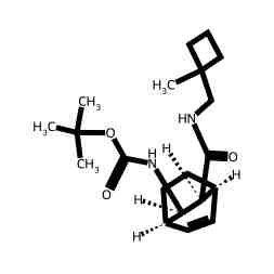 CC1(CNC(=O)[C@@H]2[C@H](NC(=O)OC(C)(C)C)[C@H]3C=C[C@@H]2CC3)CCC1